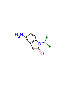 Nc1ccc2c(c1)sc(=O)n2C(F)F